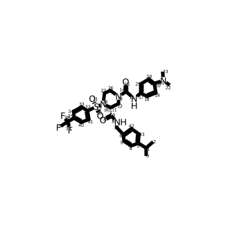 CC(C)c1ccc(CNC(=O)[C@H]2CN(C(=O)Nc3ccc(N(C)C)cc3)CCN2S(=O)(=O)c2ccc(C(F)(F)F)cc2)cc1